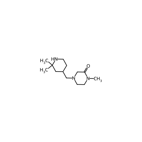 CN1CCN(CC2CCNC(C)(C)C2)CC1=O